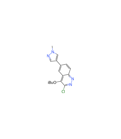 CC(C)COc1c(Cl)nnc2ccc(-c3cnn(C)c3)cc12